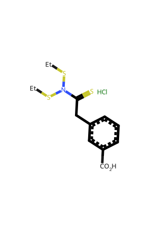 CCSN(SCC)C(=S)Cc1cccc(C(=O)O)c1.Cl